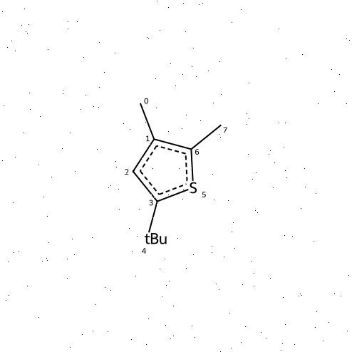 Cc1cc(C(C)(C)C)sc1C